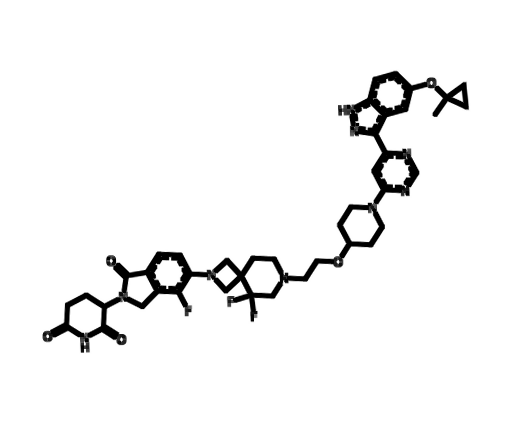 CC1(Oc2ccc3[nH]nc(-c4cc(N5CCC(OCCN6CCC7(CN(c8ccc9c(c8F)CN(C8CCC(=O)NC8=O)C9=O)C7)C(F)(F)C6)CC5)ncn4)c3c2)CC1